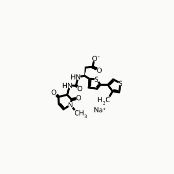 Cc1cscc1-c1ccc([C@H](CC(=O)[O-])NC(=O)NC2C(=O)C=CN(C)C2=O)s1.[Na+]